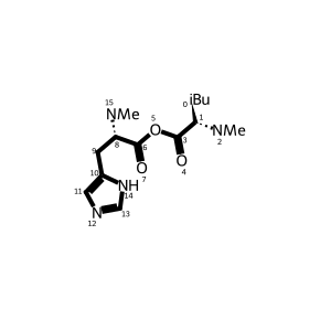 CC[C@H](C)[C@H](NC)C(=O)OC(=O)[C@H](Cc1cnc[nH]1)NC